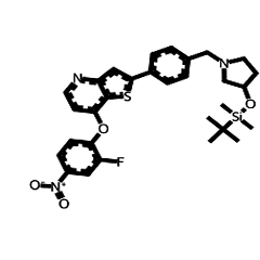 CC(C)(C)[Si](C)(C)OC1CCN(Cc2ccc(-c3cc4nccc(Oc5ccc([N+](=O)[O-])cc5F)c4s3)cc2)C1